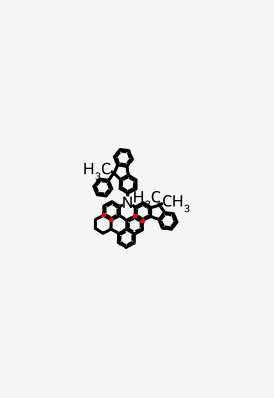 CC1(C)c2ccccc2-c2ccc(N(c3ccc4c(c3)C(C)(c3ccccc3)c3ccccc3-4)c3ccccc3-c3cccc4cccc(C5CCCCC5)c34)cc21